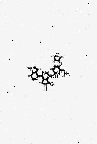 CN(C)Cc1nc(Nc2cnc(-c3cccc4c3ccn4C)c3c2C(=O)NC3)ccc1O[C@@H]1CCOC1